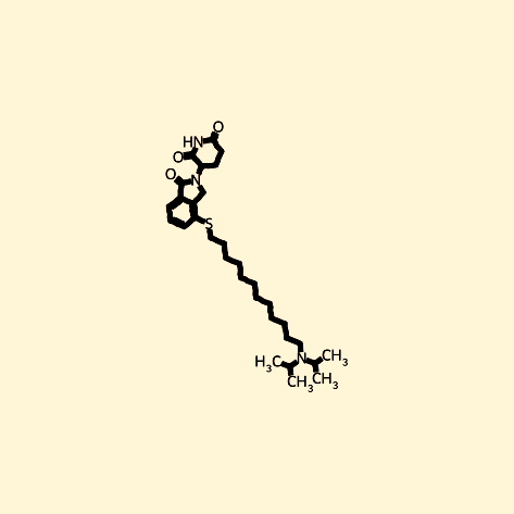 CC(C)N(CCCCCCCCCCCCSc1cccc2c1CN(C1CCC(=O)NC1=O)C2=O)C(C)C